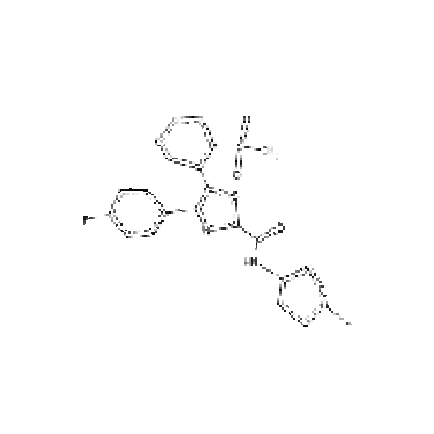 CS(=O)(=O)c1ccccc1-c1sc(C(=O)Nc2ccc(F)cc2)nc1-c1ccc(F)cc1